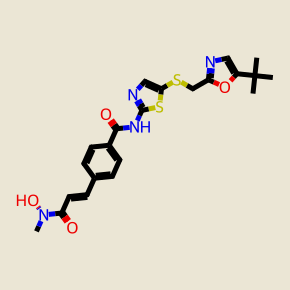 CN(O)C(=O)C=Cc1ccc(C(=O)Nc2ncc(SCc3ncc(C(C)(C)C)o3)s2)cc1